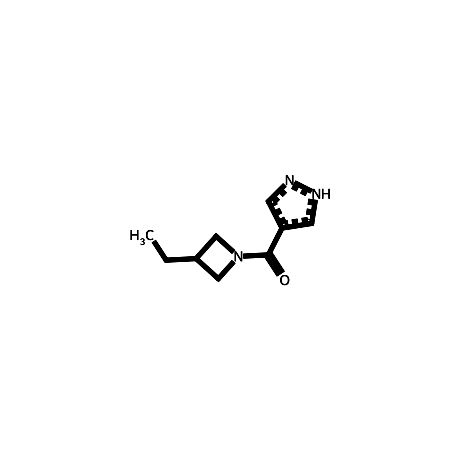 CCC1CN(C(=O)c2cn[nH]c2)C1